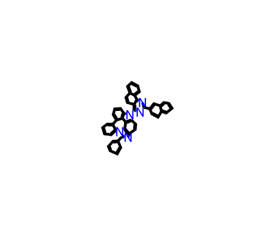 c1ccc(-c2nc3ccc4c5c6c(cccc6n4-c4nc(-c6ccc7ccccc7c6)nc6c4ccc4ccccc46)c4ccccc4n2c35)cc1